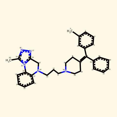 Cc1cccc(C(=C2CCN(CCCN3Cc4nnc(C)n4-c4ccccc43)CC2)c2ccccc2)c1